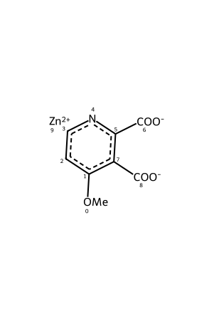 COc1ccnc(C(=O)[O-])c1C(=O)[O-].[Zn+2]